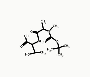 CC(O)C(NC(=O)C(C)N(C)C(=O)OC(C)(C)C)C(=O)O